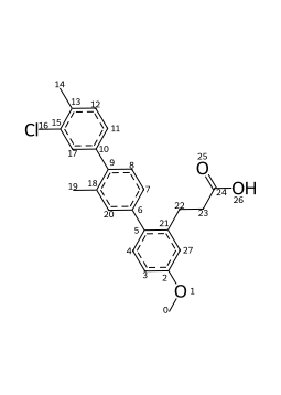 COc1ccc(-c2ccc(-c3ccc(C)c(Cl)c3)c(C)c2)c(CCC(=O)O)c1